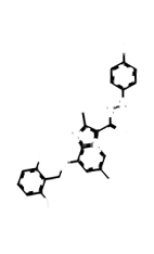 CCc1ccc(NNC(=O)c2c(C)nc3c(OCc4c(F)cccc4F)cc(C)cn23)cc1